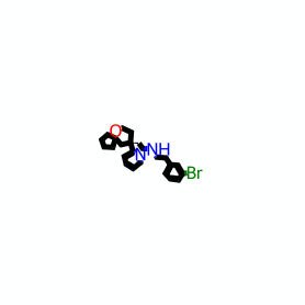 Brc1cccc(CCNCC[C@@]2(c3ccccn3)CCOC3(CCCC3)C2)c1